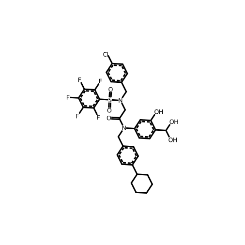 O=C(CN(Cc1ccc(Cl)cc1)S(=O)(=O)c1c(F)c(F)c(F)c(F)c1F)N(Cc1ccc(C2CCCCC2)cc1)c1ccc(C(O)O)c(O)c1